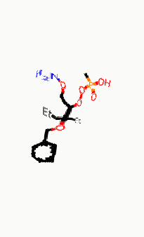 CCC(CC)(OCc1ccccc1)C(CON)OOP(C)(=O)O